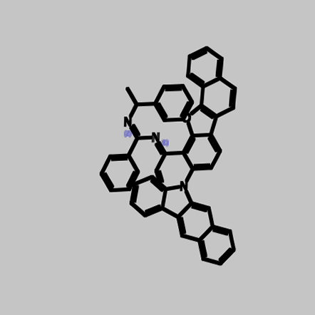 C=C/C(=N\C(=N/C(C)c1ccccc1)c1ccccc1)c1c(-n2c3ccccc3c3cc4ccccc4cc32)ccc2c1oc1c3ccccc3ccc21